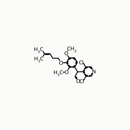 COc1ccc(C(C=O)c2c(Cl)cncc2Cl)c(OC)c1OCCC=C(C)C